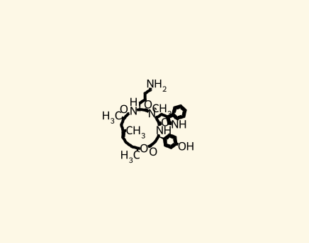 C/C1=C\CC[C@H](C)OC(=O)C[C@H](c2ccc(O)cc2)NC(=O)C(Cc2c[nH]c3ccccc23)N(C)C(=O)[C@H](CCCCN)NC(=O)C(C)C1